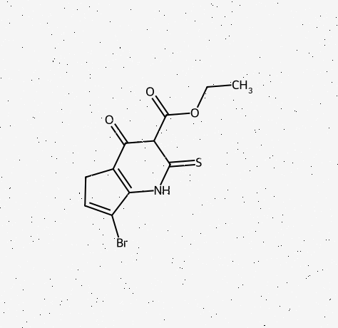 CCOC(=O)C1C(=O)C2=C(NC1=S)C(Br)=CC2